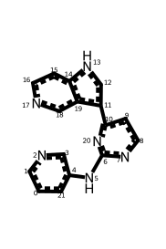 c1cncc(Nc2nccc(-c3c[nH]c4ccncc34)n2)c1